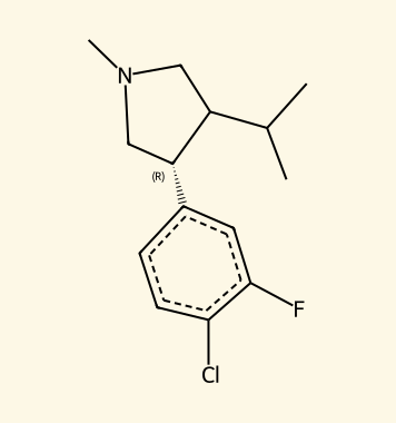 CC(C)C1CN(C)C[C@H]1c1ccc(Cl)c(F)c1